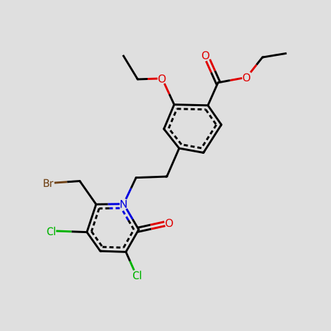 CCOC(=O)c1ccc(CCn2c(CBr)c(Cl)cc(Cl)c2=O)cc1OCC